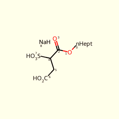 CCCCCCCOC(=O)C(CC(=O)O)S(=O)(=O)O.[NaH]